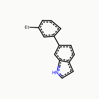 C[CH]c1cccc(-c2ccc3cc[nH]c3c2)c1